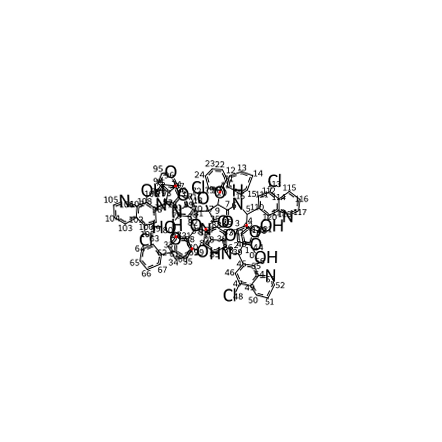 Cc1ccc(C(NC(=O)C(Oc2ccccc2)C(Oc2ccccc2)(C(=O)N(C(Oc2ccccc2)C(=O)NC(c2ccco2)c2cc(Cl)c3cccnc3c2O)C(c2ccc(-c3ccccc3)o2)c2cc(Cl)c3cccnc3c2O)C(Oc2ccccc2)C(=O)NC(c2ccoc2)c2cc(Cl)c3cccnc3c2O)c2cc(Cl)c3cccnc3c2O)o1